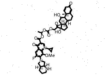 COc1c(N2C[C@@H]3CCCN[C@@H]3C2)c(F)cc2c(=O)c(C(=O)OC(C)OC(=O)OCC(=O)[C@]3(O)CC[C@@H]4[C@H]5CCC6=CC(=O)C=C[C@@]6(C)C5[C@H](O)C[C@]43C)cn(C3CC3)c12